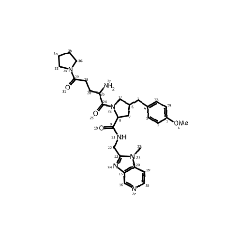 COc1ccc(CC2CC(C(=O)NCc3nc4cnccc4n3C)N(C(=O)C(N)CCC(=O)N3CCCC3)C2)cc1